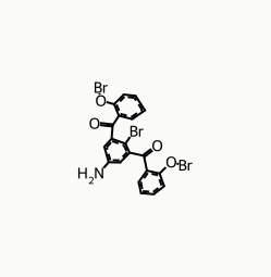 Nc1cc(C(=O)c2ccccc2OBr)c(Br)c(C(=O)c2ccccc2OBr)c1